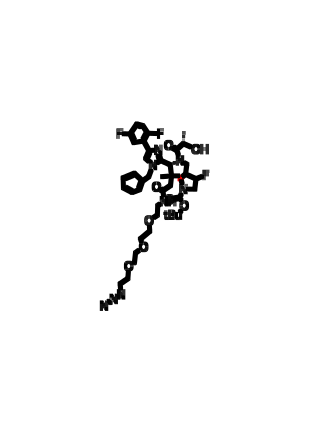 C[C@H](O)C(=O)N(CC1CN(C(=O)OC(C)(C)C)CC1F)[C@@H](c1nc(-c2cc(F)ccc2F)cn1Cc1ccccc1)C(C)(C)CC(=O)NCCOCCOCCOCCN=[N+]=[N-]